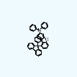 c1ccc(N(c2ccccc2)c2ccc3c(c2)oc2cccc(C4(c5ccccc5)c5ccccc5-c5ccccc54)c23)cc1